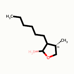 BC1OC[C@@H](C)C1CCCCCC